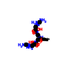 Nc1ccc(N=Nc2ccc3cc(S(=O)(=O)[O-])c(N=Nc4ccc(Nc5ccc(N=Nc6c(S(=O)(=O)[O-])cc7ccc(N=Nc8ccc(N)cc8N)cc7c6O)cc5S(=O)(=O)[O-])cc4)c(O)c3c2)c(N)c1.[Na+].[Na+].[Na+]